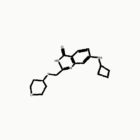 O=c1[nH]c(CSC2CCOCC2)nc2cc(NC3CCC3)ccc12